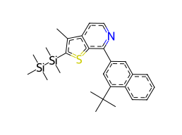 Cc1c([Si](C)(C)[Si](C)(C)C)sc2c(-c3cc(C(C)(C)C)c4ccccc4c3)nccc12